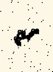 C/C(=C\c1cc(F)cc(N2CCN(C(=O)Cn3cccn3)CC2)c1)[C@H]1OC(=O)C[C@H](O)CC[C@H](C)[C@@H](OC(=O)N(C)C2CCN(C)CC2)/C=C/[C@@H]1C